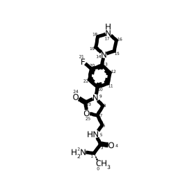 C[C@H](N)C(=O)NCC1CN(c2ccc(N3CCNCC3)c(F)c2)C(=O)O1